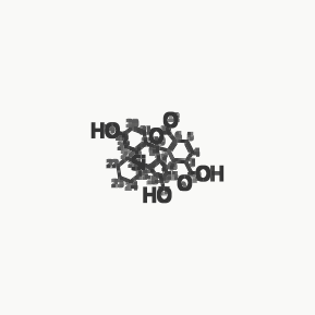 O=C(O)c1ccc2c(c1)C1(OC2=O)c2ccc(O)cc2[Si]2(CCCCC2)c2cc(O)ccc21